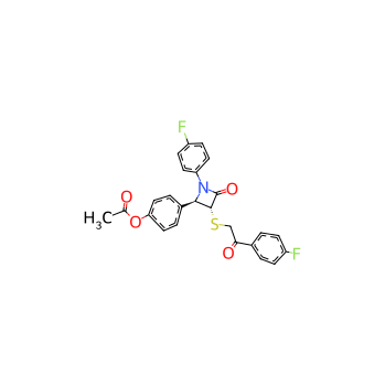 CC(=O)Oc1ccc([C@@H]2[C@@H](SCC(=O)c3ccc(F)cc3)C(=O)N2c2ccc(F)cc2)cc1